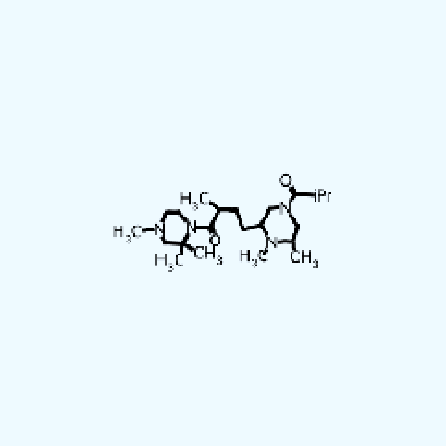 CC(C)C(=O)N1CC(C)N(C)C(CCC(C)C(=O)N2CCN(C)CC2(C)C)C1